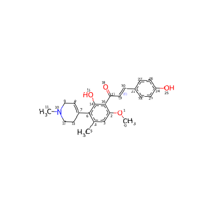 COc1cc(C)c(C2=CCN(C)CC2)c(O)c1C(=O)/C=C/c1ccc(O)cc1